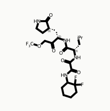 CC(C)C[C@H](NC(=O)C(=O)NC1CCCCC1(F)F)C(=O)N[C@@H](C[C@@H]1CCNC1=O)C(=O)COC(F)(F)F